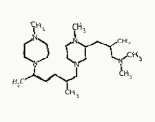 CC(CC1CN(CC(C)CCC(C)N2CCN(C)CC2)CCN1C)CN(C)C